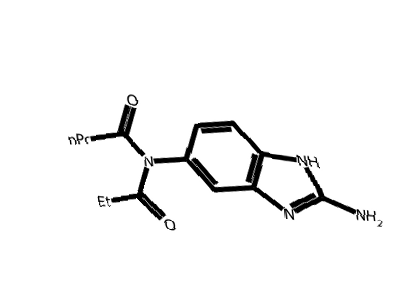 CCCC(=O)N(C(=O)CC)c1ccc2[nH]c(N)nc2c1